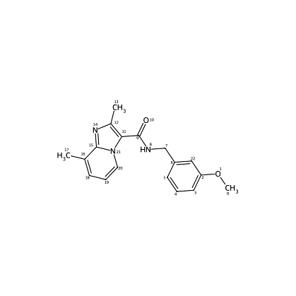 COc1cccc(CNC(=O)c2c(C)nc3c(C)cccn23)c1